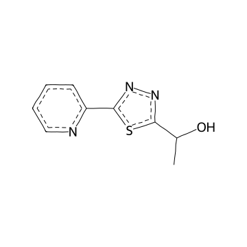 CC(O)c1nnc(-c2ccccn2)s1